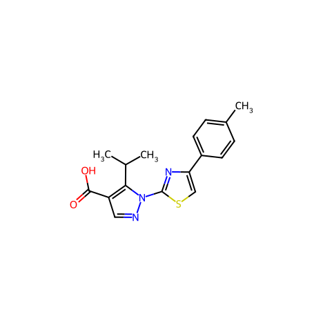 Cc1ccc(-c2csc(-n3ncc(C(=O)O)c3C(C)C)n2)cc1